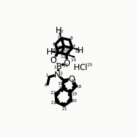 CCN(B1O[C@@H]2C[C@@H]3C[C@@H](C3(C)C)[C@]2(C)O1)c1occ2ccccc12.Cl